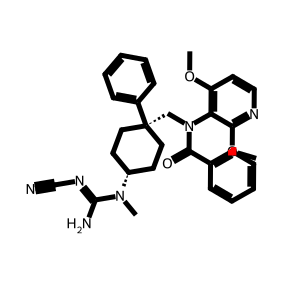 COc1ccnc(OC)c1N(C[C@]1(c2ccccc2)CC[C@H](N(C)C(N)=NC#N)CC1)C(=O)c1ccccc1